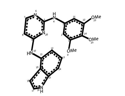 COc1cc(Nc2nccc(Nc3cccc4[nH]ccc34)n2)cc(OC)c1OC